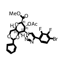 COC(=O)[C@@H]1O[C@@H]2COC(c3ccccc3)O[C@@H]2[C@H](n2cc(-c3ccc(Br)c(F)c3F)nn2)[C@H]1OC(C)=O